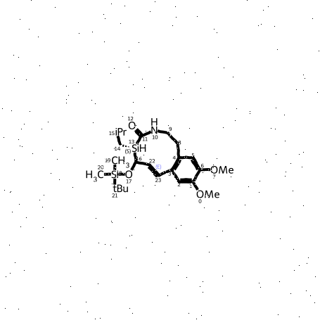 COc1cc2c(cc1OC)CCNC(=O)[Si@@H](CC(C)C)C(O[Si](C)(C)C(C)(C)C)/C=C/2